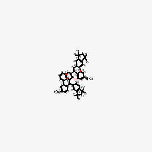 Cc1cc2c3c(c1)C(c1ccc(C(C)(C)C)cc1-c1ccccc1)c1cc4c(cc1B3c1cc(C(C)(C)C)ccc1C2Cc1cc2c(cc1C)C(C)(C)CC2(C)C)C(C)(C)CC4(C)C